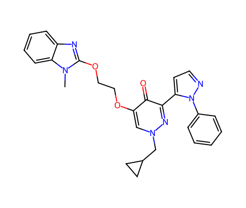 Cn1c(OCCOc2cn(CC3CC3)nc(-c3ccnn3-c3ccccc3)c2=O)nc2ccccc21